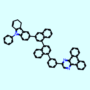 C1=Cc2c(c3cc(-c4cc(-c5ccc(-c6cccc(-c7cnc8c9ccccc9c9ccccc9c8n7)c6)c6ccccc56)c5ccccc5c4)ccc3n2-c2ccccc2)CC1